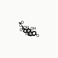 CC(=O)OCC(=O)[C@@]1(O)CC[C@H]2[C@@H]3C=CC4=CC(=O)CC[C@]4(C)[C@@]3(F)[C@@H](O)C[C@@]21C